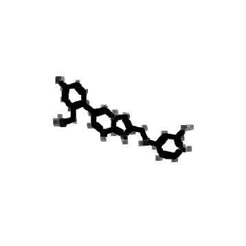 OCc1cc(F)ccc1-c1cnc2nc(COc3ccnc(F)c3)cn2c1